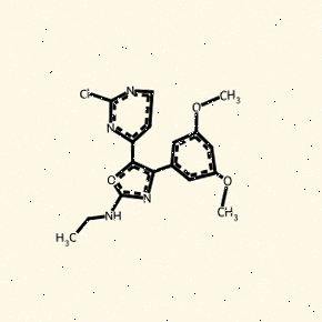 CCNc1nc(-c2cc(OC)cc(OC)c2)c(-c2ccnc(Cl)n2)o1